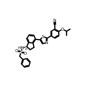 CC(C)Oc1ccc(-c2ncc(-c3cccc4c3CC[C@H]4NS(=O)(=O)Cc3ccccc3)s2)cc1C#N